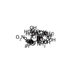 CC(C)C[C@H](C(=O)N[C@H]1C(=O)C[C@@H](CC(N)=O)C(=O)N[C@H]2C(=O)C[C@H]3C(=O)N[C@H](C(=O)N[C@H](C(=O)CC4C5CC6CC(C5)CC4C6)c4cc(O)cc(O)c4-c4cc3ccc4O)[C@H](O)c3ccc(c(Cl)c3)Oc3cc2cc(c3O[C@@H]2O[C@H](CO)[C@@H](O)[C@H](O)[C@H]2O)Oc2ccc(cc2Cl)[C@H]1O)N(C)C(=O)OCc1ccc([N+](=O)[O-])cc1